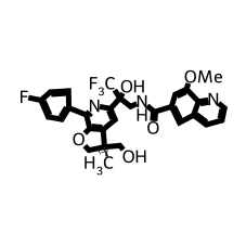 COc1cc(C(=O)NCC(O)(c2cc3c(c(-c4ccc(F)cc4)n2)OC[C@]3(C)CO)C(F)(F)F)cc2cccnc12